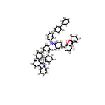 c1ccc(-c2ccc(-c3cccc(N(c4ccc(-c5ccccc5-c5ccccc5-n5c6ccccc6c6ccccc65)cc4)c4ccc(-c5cccc6c5oc5ccccc56)cc4)c3)cc2)cc1